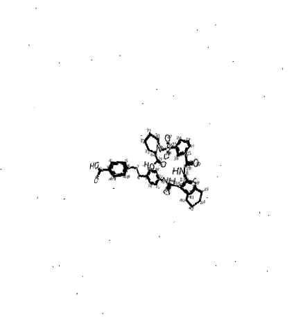 O=C(O)c1ccc(CCc2ccc(NC(=O)c3c(NC(=O)c4cccc(S(=O)(=O)N5CCCCC5C(=O)O)c4)sc4c3CCCC4)cc2)cc1